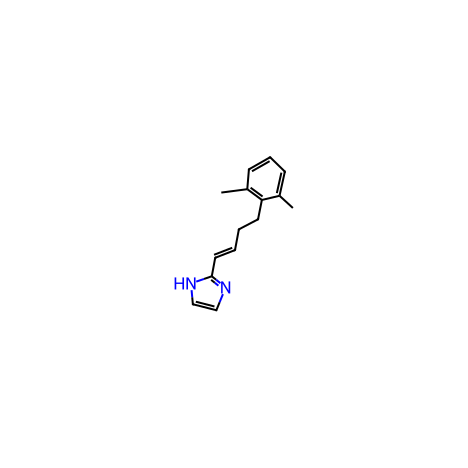 Cc1cccc(C)c1CC/C=C/c1ncc[nH]1